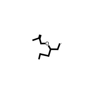 [CH2]CC(CCC)OCC(=C)C